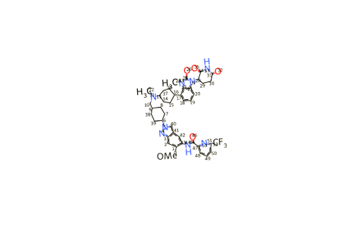 COc1cc2nn(C3CCC(CN(C)C4CCC(c5cccc6c5n(C)c(=O)n6C5CCC(=O)NC5=O)CC4)CC3)cc2cc1NC(=O)c1cccc(C(F)(F)F)n1